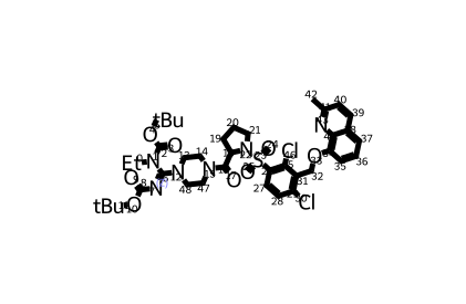 CCN(C(=O)OC(C)(C)C)/C(=N\C(=O)OC(C)(C)C)N1CCN(C(=O)C2CCCN2S(=O)(=O)c2ccc(Cl)c(COc3cccc4ccc(C)nc34)c2Cl)CC1